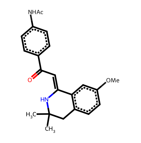 COc1ccc2c(c1)C(=CC(=O)c1ccc(NC(C)=O)cc1)NC(C)(C)C2